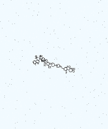 CCc1cc(Nc2ncc(Br)c(Nc3cnc4c(C)cccc4c3P(C)(C)=O)n2)c(OC)cc1N1CCC(N2CCN(CCc3cc(F)c(C4CCC(=O)NC4=O)c(F)c3)CC2)CC1